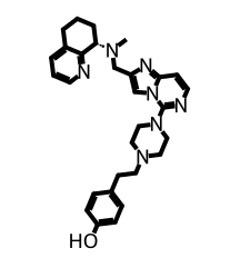 CN(Cc1cn2c(N3CCN(CCc4ccc(O)cc4)CC3)nccc2n1)[C@H]1CCCc2cccnc21